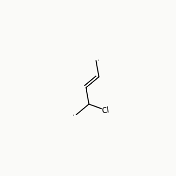 [CH2]C=CC([CH2])Cl